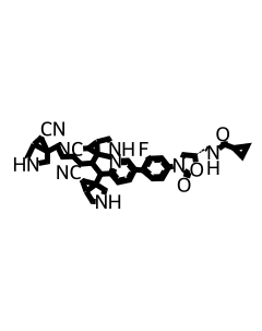 N#CC1C2CNCC12CCCCC(C(c1ccc(-c2ccc(N3C[C@H](CNC(=O)C4CC4)OC3=O)cc2F)cn1)C12CNCC1C2C#N)C12CNCC1C2C#N